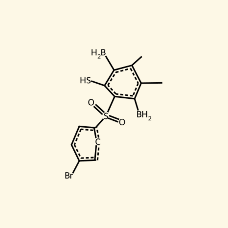 Bc1c(C)c(C)c(B)c(S(=O)(=O)c2ccc(Br)cc2)c1S